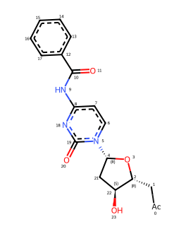 CC(=O)C[C@H]1O[C@@H](n2ccc(NC(=O)c3ccccc3)nc2=O)C[C@@H]1O